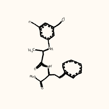 COC(=O)C(Cc1ccccc1)NC(=O)C(C)Nc1cc(Cl)cc(Cl)c1